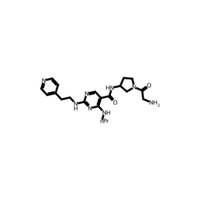 CCCNc1nc(NCCc2ccncc2)ncc1C(=O)NC1CCN(C(=O)CN)C1